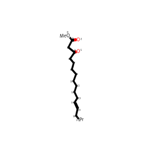 COC(=O)CC(=O)CCCCCCCCC=CCC(C)C